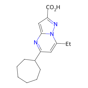 CCc1cc(C2CCCCCC2)nc2cc(C(=O)O)nn12